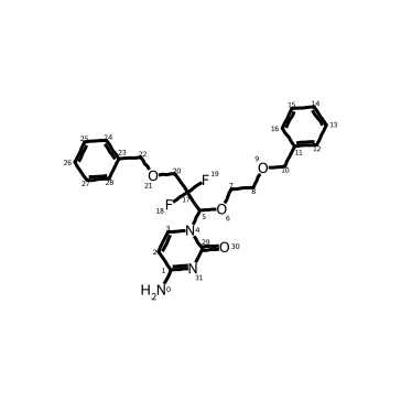 Nc1ccn(C(OCCOCc2ccccc2)C(F)(F)COCc2ccccc2)c(=O)n1